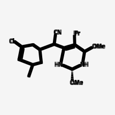 COC1N[C@H](OC)NC(C(C#N)C2CC(Cl)=CC(C)C2)=C1C(C)C